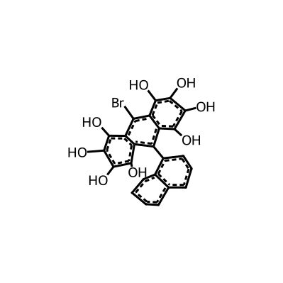 Oc1c(O)c(O)c2c(-c3cccc4ccccc34)c3c(O)c(O)c(O)c(O)c3c(Br)c2c1O